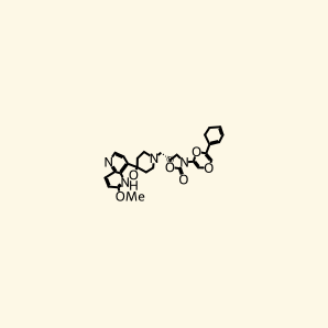 COc1ccc2nccc(C3(O)CCN(C[C@@H]4CN(C5=COC=C(C6=CC=CCC6)O5)C(=O)O4)CC3)c2n1